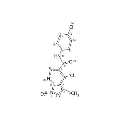 CCn1nc(C)c2c(Cl)c(C(=O)Nc3ccc(Cl)cc3)cnc21